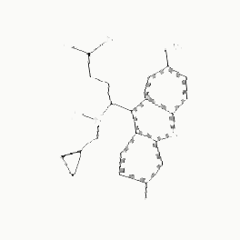 COc1ccc2nc3cc(Cl)ccc3c(C(CCC(C)N)N(C)CC3CC3)c2c1